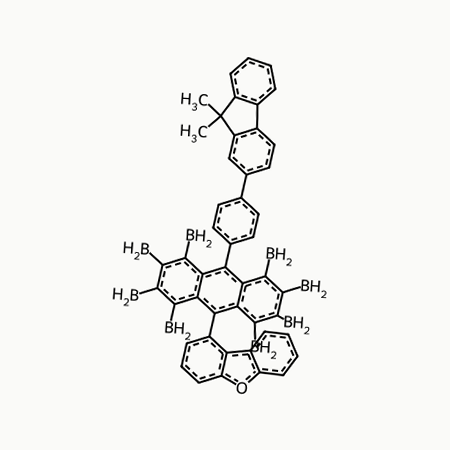 Bc1c(B)c(B)c2c(-c3cccc4oc5ccccc5c34)c3c(B)c(B)c(B)c(B)c3c(-c3ccc(-c4ccc5c(c4)C(C)(C)c4ccccc4-5)cc3)c2c1B